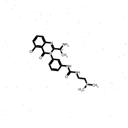 C[C@H](N)c1nc2cccc(Cl)c2c(=O)n1-c1cccc(NC(=O)NCCN(C)C)c1